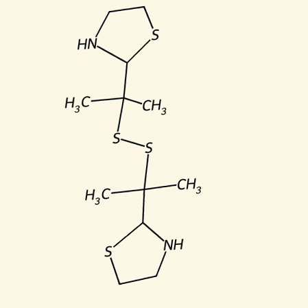 CC(C)(SSC(C)(C)C1NCCS1)C1NCCS1